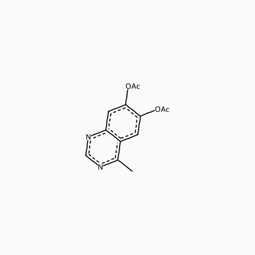 CC(=O)Oc1cc2ncnc(C)c2cc1OC(C)=O